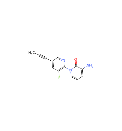 CC#Cc1cnc(-n2cccc(N)c2=O)c(F)c1